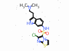 CN(C)CCc1c[nH]c2cc(NS(=O)(=O)c3c(Cl)nc4sccn34)ccc12